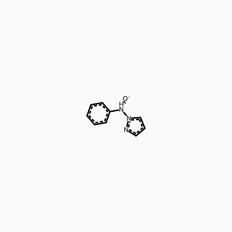 [O-][NH+](c1ccccc1)n1cccn1